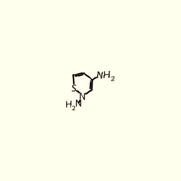 NC1=CN(N)SC=C1